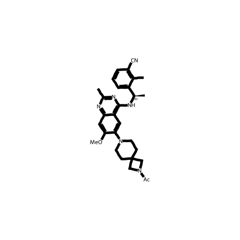 COc1cc2nc(C)nc(N[C@H](C)c3cccc(C#N)c3C)c2cc1N1CCC2(CC1)CN(C(C)=O)C2